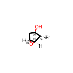 CC(C)[C@@H]1[C@H]2O[C@H]2C[C@H]1O